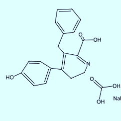 O=C(O)C1=NCCC(c2ccc(O)cc2)=C1Cc1ccccc1.O=C(O)O.[NaH]